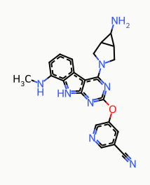 CNc1cccc2c1[nH]c1nc(Oc3cncc(C#N)c3)nc(N3CC4C(N)C4C3)c12